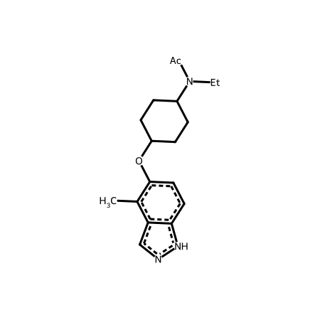 CCN(C(C)=O)C1CCC(Oc2ccc3[nH]ncc3c2C)CC1